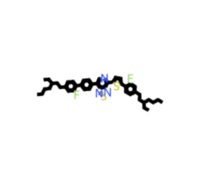 CCCCC(CC)CCc1ccc(-c2ccc(-c3cnc(-c4ccc(-c5ccc(CCC(CC)CCCC)cc5F)s4)c4nsnc34)cc2)c(F)c1